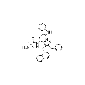 CC(C)(N)C(=O)NC(Cc1c[nH]c2ccccc12)c1nnc(Cc2ccccc2)n1Cc1cccc2ccccc12